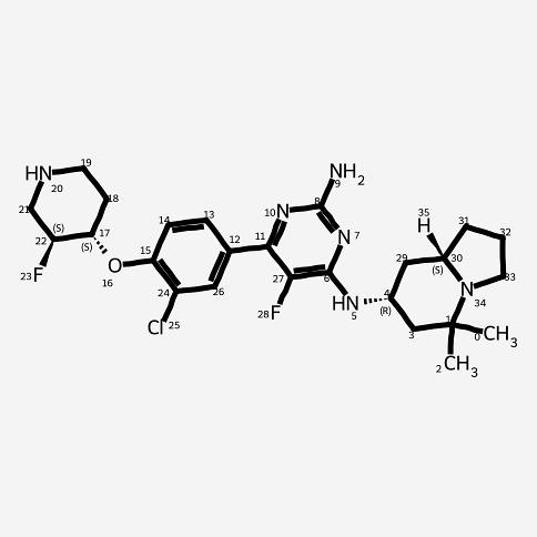 CC1(C)C[C@H](Nc2nc(N)nc(-c3ccc(O[C@H]4CCNC[C@@H]4F)c(Cl)c3)c2F)C[C@@H]2CCCN21